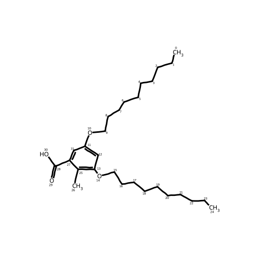 CCCCCCCCCCOc1cc(OCCCCCCCCCC)c(C)c(C(=O)O)c1